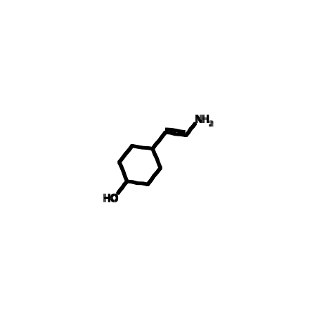 NC=CC1CCC(O)CC1